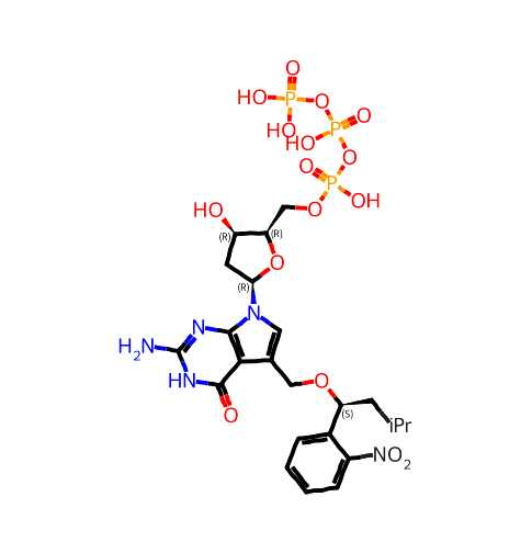 CC(C)C[C@H](OCc1cn([C@H]2C[C@@H](O)[C@@H](COP(=O)(O)OP(=O)(O)OP(=O)(O)O)O2)c2nc(N)[nH]c(=O)c12)c1ccccc1[N+](=O)[O-]